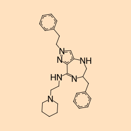 c1ccc(CCn2cc3c(n2)C(NCCN2CCCCC2)=NC(Cc2ccccc2)CN3)cc1